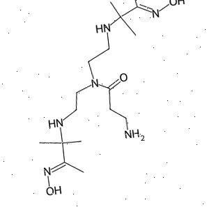 C/C(=N\O)C(C)(C)NCCN(CCNC(C)(C)/C(C)=N/O)C(=O)CCN